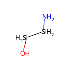 N[SiH2][SiH2]O